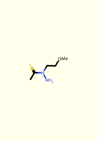 COCCN(N)C(C)=S